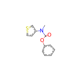 CN(C(=O)Oc1ccccc1)c1ccsc1